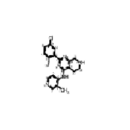 Cc1cnccc1Nc1nc(-c2cc(Cl)ccc2F)nc2c1CCNC2